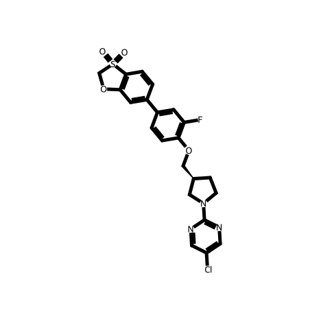 O=S1(=O)COc2cc(-c3ccc(OC[C@H]4CCN(c5ncc(Cl)cn5)C4)c(F)c3)ccc21